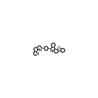 c1cnc2c(c1)ccc1ccc(-c3ccc(-c4nc5ccc6c7ccccc7oc6c5c5ccccc45)cc3)nc12